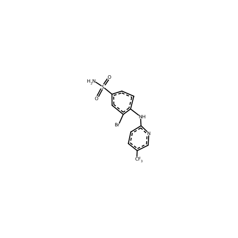 NS(=O)(=O)c1ccc(Nc2ccc(C(F)(F)F)cn2)c(Br)c1